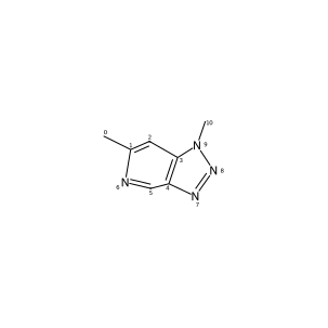 Cc1cc2c(cn1)nnn2C